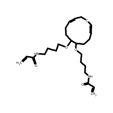 C=CC(=O)NCCCCOC1CC/C=C\CC/C=C\CCC1OCCCCNC(=O)C=C